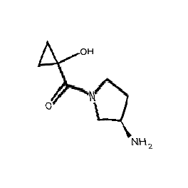 N[C@@H]1CCN(C(=O)C2(O)CC2)C1